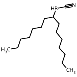 CCCCCCCC(BC#N)CCCCCCC